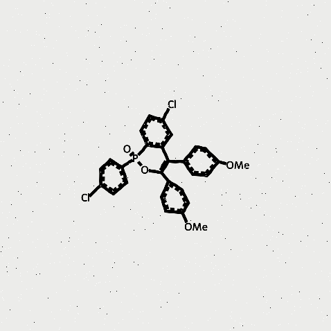 COc1ccc(C2=C(c3ccc(OC)cc3)c3cc(Cl)ccc3P(=O)(c3ccc(Cl)cc3)O2)cc1